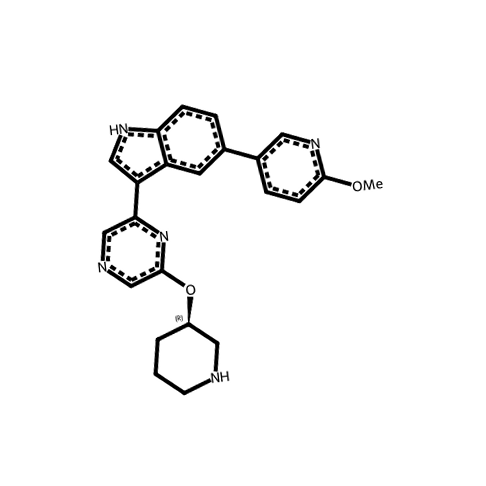 COc1ccc(-c2ccc3[nH]cc(-c4cncc(O[C@@H]5CCCNC5)n4)c3c2)cn1